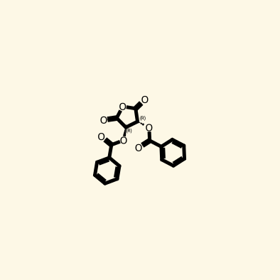 O=C(O[C@H]1C(=O)OC(=O)[C@@H]1OC(=O)c1ccccc1)c1ccccc1